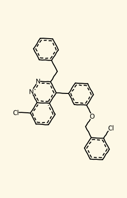 Clc1ccccc1COc1cccc(-c2c(Cc3ccccc3)nnc3c(Cl)cccc23)c1